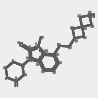 Cn1c(=O)n(C2CCCNC2)c2cccc(CCC3CC4(CNC4)C3)c21